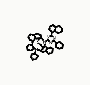 c1ccc(-c2nc(-c3cccc4ccccc34)nc(-n3c4ccc5cccc6c7ccccc7n(-c7ccccc7)c7cc8ccccc8c3c7sc4c56)n2)cc1